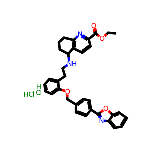 CCOC(=O)c1ccc2c(n1)CCCC2NCCc1ccccc1OCc1ccc(-c2nc3ccccc3o2)cc1.Cl.Cl